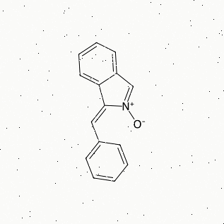 [O-][N+]1=Cc2ccccc2C1=Cc1ccccc1